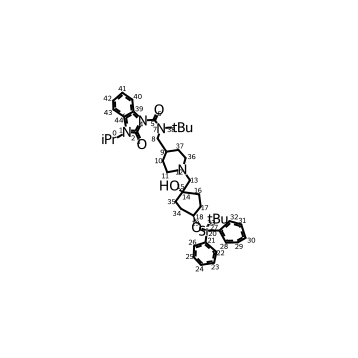 CC(C)n1c(=O)n(C(=O)N(CC2CCN(C[C@]3(O)CC[C@@H](O[Si](c4ccccc4)(c4ccccc4)C(C)(C)C)CC3)CC2)C(C)(C)C)c2ccccc21